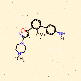 CCNc1ccc(-c2cccc(-c3cc(N4CCN(C)CC4)no3)c2OC)cc1